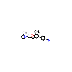 Cc1cc(-c2ccc(C#N)cc2)cc2cc(CCN3CCC[C@H]3C)oc12